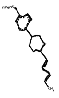 C/C=C/C=C/C1CCC(c2ccc(CCCCC)cc2)CC1